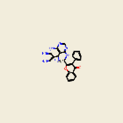 CC(Nc1ncnc(N)c1C(N)/C(C=N)=C/N)c1oc2ccccc2c(=O)c1-c1ccccc1